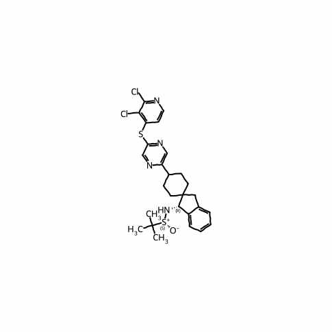 CC(C)(C)[S@@+]([O-])N[C@H]1c2ccccc2CC12CCC(c1cnc(Sc3ccnc(Cl)c3Cl)cn1)CC2